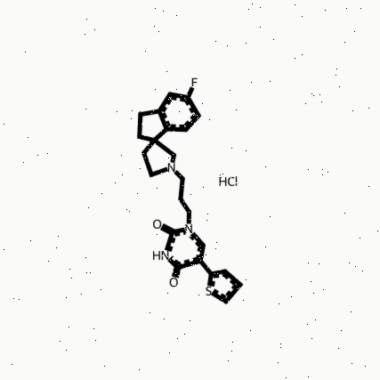 Cl.O=c1[nH]c(=O)n(CCCN2CCC3(CCc4cc(F)ccc43)C2)cc1-c1cccs1